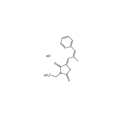 CC(=Cc1ccccc1)C=C1SC(=S)N(CC(=O)O)C1=O.Cl